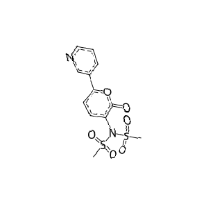 CS(=O)(=O)N(c1ccc(-c2cccnc2)oc1=O)S(C)(=O)=O